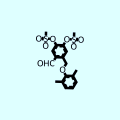 Cc1cccc(C)c1OCc1cc(OS(C)(=O)=O)c(OS(C)(=O)=O)cc1C=O